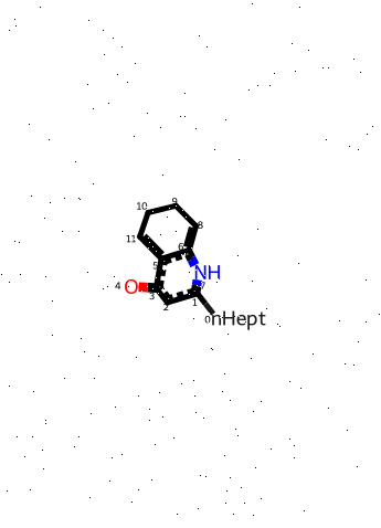 CCCCCCCc1cc(=O)c2c([nH]1)=CCCC=2